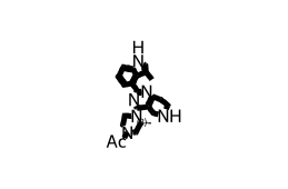 CC(=O)N1CCN(c2nc(-c3cccc4[nH]cc(C)c34)nc3c2CNCC3)[C@H](C)C1